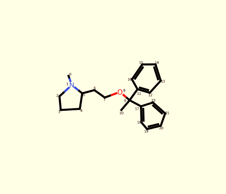 CN1CCCC1CCOC(C)(c1ccccc1)c1ccccc1